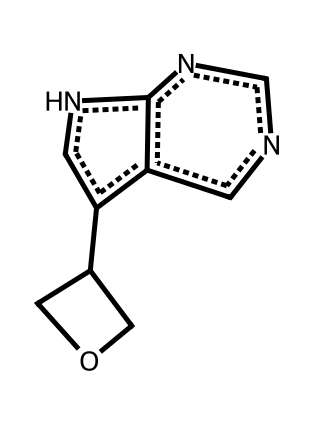 c1ncc2c(C3COC3)c[nH]c2n1